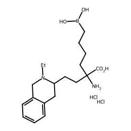 CCN1Cc2ccccc2CC1CCC(N)(CCCCB(O)O)C(=O)O.Cl.Cl